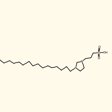 CCCCCCCCCCCCCCCCN1CCN(CCCS(=O)(=O)O)C1